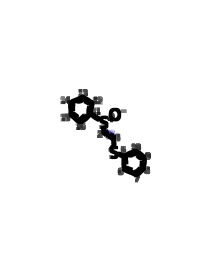 [O-][S+](/C=C/Sc1ccccc1)c1ccccc1